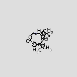 CC(C)NC12CCN(C1)C(=O)OC/C=C/CC(C)(C(=O)C(C)C)NCC2=O